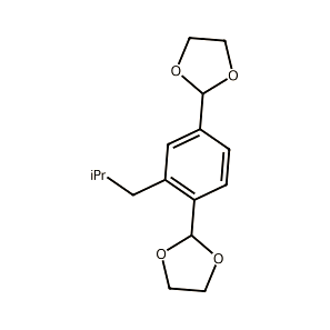 CC(C)Cc1cc(C2OCCO2)ccc1C1OCCO1